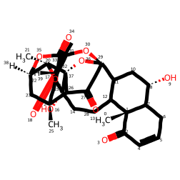 C[C@]12C(=O)C=CCC1[C@@H](O)CC1C2CC[C@@]2(O)C(=O)O[C@@]3(C)[C@H]4C[C@@]5(C)C6C(=O)[C@]1(OC[C@H]5C(=O)O4)O[C@]623